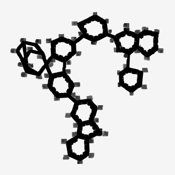 c1ccc(-c2nc(-c3cccc(-c4ccc5c(c4)-c4cc(-c6ccc7sc8ccccc8c7c6)ccc4C54C5CC6CC(C5)CC4C6)c3)nc3ccccc23)cc1